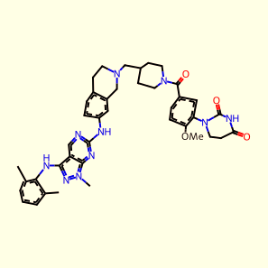 COc1ccc(C(=O)N2CCC(CN3CCc4ccc(Nc5ncc6c(Nc7c(C)cccc7C)nn(C)c6n5)cc4C3)CC2)cc1N1CCC(=O)NC1=O